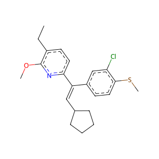 CCc1ccc(/C(=C/C2CCCC2)c2ccc(SC)c(Cl)c2)nc1OC